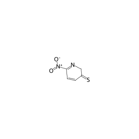 O=[N+]([O-])C1=NCC(=S)C=C1